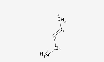 C/C=C/O[SiH3]